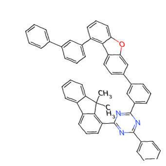 CC1(C)c2ccccc2-c2cccc(-c3nc(-c4ccccc4)nc(-c4cccc(-c5ccc6c(c5)oc5cccc(-c7cccc(-c8ccccc8)c7)c56)c4)n3)c21